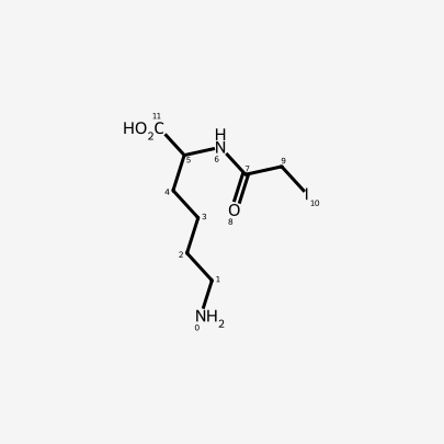 NCCCCC(NC(=O)CI)C(=O)O